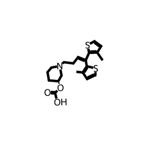 Cc1ccsc1C(=CCCN1CCC[C@@H](OC(=O)O)C1)c1sccc1C